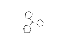 [c]1ccccc1P(C1CCCC1)C1CCCC1